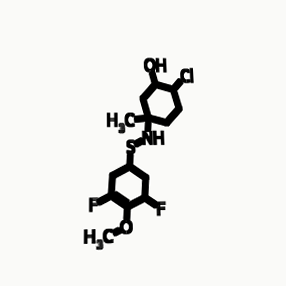 COC1=C(F)CC(SNC2(C)CCC(Cl)C(O)C2)CC1F